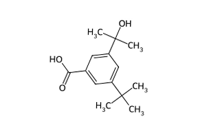 CC(C)(C)c1cc(C(=O)O)cc(C(C)(C)O)c1